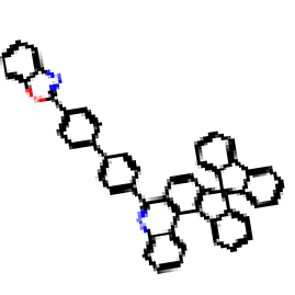 c1ccc2c(c1)-c1ccccc1C21c2ccccc2-c2c1ccc1c(-c3ccc(-c4ccc(-c5nc6ccccc6o5)cc4)cc3)nc3ccccc3c21